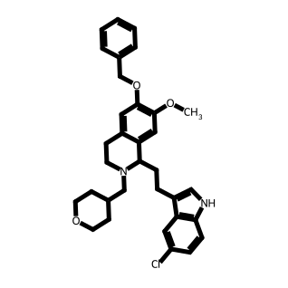 COc1cc2c(cc1OCc1ccccc1)CCN(CC1CCOCC1)C2CCc1c[nH]c2ccc(Cl)cc12